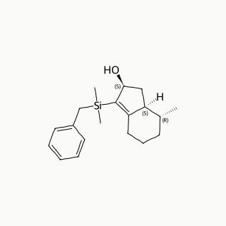 C[C@@H]1CCCC2=C([Si](C)(C)Cc3ccccc3)[C@@H](O)C[C@H]21